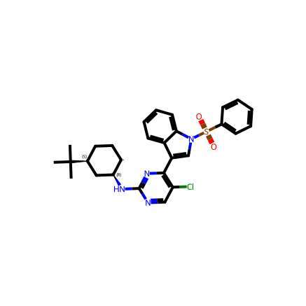 CC(C)(C)[C@H]1CC[CH][C@@H](Nc2ncc(Cl)c(-c3cn(S(=O)(=O)c4ccccc4)c4ccccc34)n2)C1